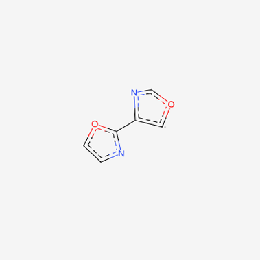 [c]1ocnc1-c1ncco1